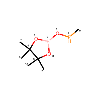 CPOB1OC(C)(C)C(C)(C)O1